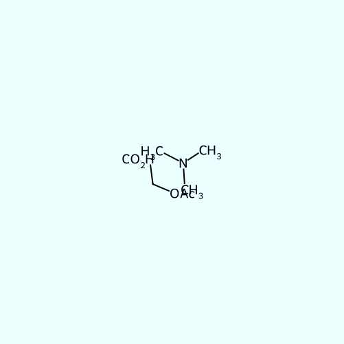 CC(=O)OCC(=O)O.CN(C)C